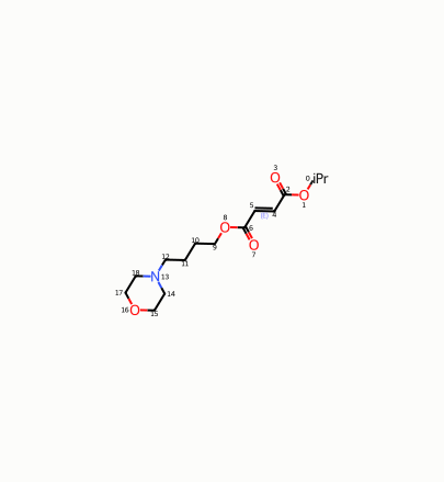 CC(C)OC(=O)/C=C/C(=O)OCCCCN1CCOCC1